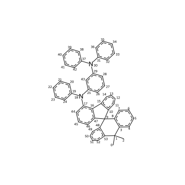 CC1(C)c2ccccc2C2(c3ccccc3-c3c(N(c4ccccc4)c4cccc(N(c5ccccc5)c5ccccc5)c4)cccc32)c2ccccc21